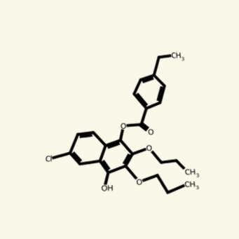 CCCOc1c(OCCC)c(OC(=O)c2ccc(CC)cc2)c2ccc(Cl)cc2c1O